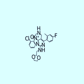 Cc1cc(F)ccc1-c1nc(NCC2OCCO2)nc2c1CNC[N+]2([O-])c1ccccc1Cl